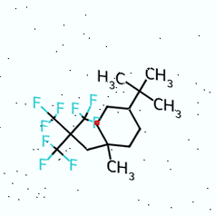 CC1(CC(C(F)(F)F)(C(F)(F)F)C(F)(F)F)CCC(C(C)(C)C)CC1